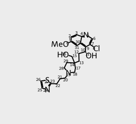 COc1ccc2ncc(Cl)c([C@@H](O)CCC3(CO)CCN(CCCc4nccs4)CC3)c2c1